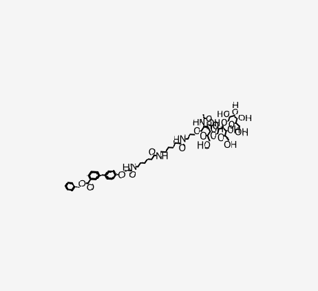 CC(=O)NC1C(O)[C@](O)(O[C@@H]2OC(CO)[C@H](O)C(O[C@H]3OC(CO)[C@H](O)C(O)C3O)C2O)C(CO)O[C@H]1OCCCNC(=O)CCCCCNC(=O)CCCCCNC(=O)COc1ccc(-c2cccc(C(=O)OCc3ccccc3)c2)cc1